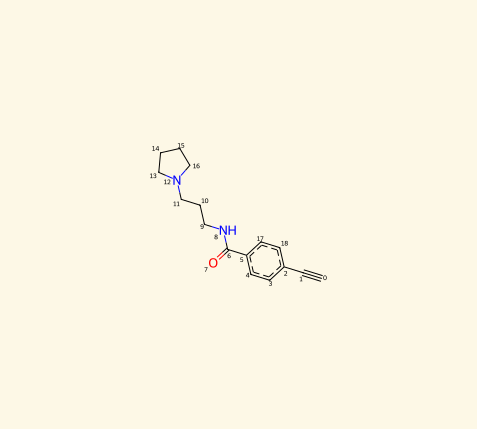 C#Cc1ccc(C(=O)NCCCN2CCCC2)cc1